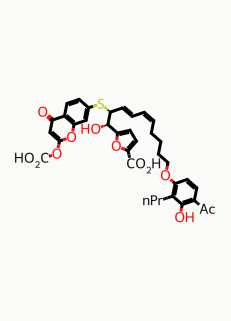 CCCc1c(OCCCC/C=C\C=C\[C@H](Sc2ccc3c(=O)cc(OC(=O)O)oc3c2)[C@H](O)c2ccc(C(=O)O)o2)ccc(C(C)=O)c1O